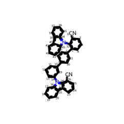 N#Cc1cccc(-c2ccc(-c3cccc(-n4c5ccccc5c5cccc(C#N)c54)c3)cc2)c1-n1c2ccccc2c2ccccc21